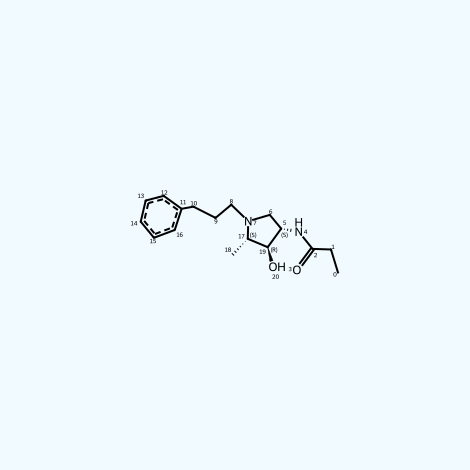 CCC(=O)N[C@H]1CN(CCCc2ccccc2)[C@@H](C)[C@@H]1O